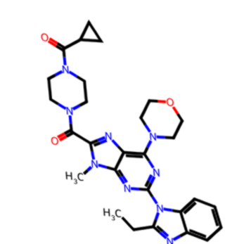 CCc1nc2ccccc2n1-c1nc(N2CCOCC2)c2nc(C(=O)N3CCN(C(=O)C4CC4)CC3)n(C)c2n1